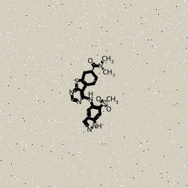 CN(C)C(=O)[C@H]1CCc2c(sc3ncnc(Nc4cc5cn[nH]c5cc4S(C)(=O)=O)c23)C1